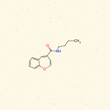 CCCCNC(=O)C1=Cc2ccccc2OC=C1